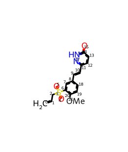 C=CCS(=O)(=O)c1cc(C=Cc2ccc(=O)[nH]n2)ccc1OC